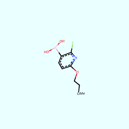 COCCOc1ccc(B(O)O)c(F)n1